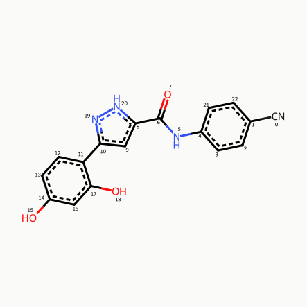 N#Cc1ccc(NC(=O)c2cc(-c3ccc(O)cc3O)n[nH]2)cc1